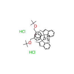 CC1=Cc2ccccc2[C]1(c1ccc(COC(C)(C)C)cc1)[Zr]([SiH](C)C)[C]1(c2ccc(COC(C)(C)C)cc2)C(C)=Cc2ccccc21.Cl.Cl